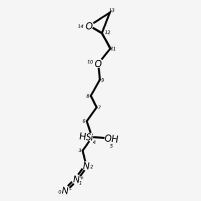 [N-]=[N+]=NC[SiH](O)CCCCOCC1CO1